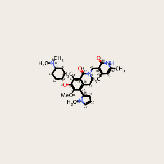 COc1c(O[C@H]2CC[C@H](N(C)C)CC2)c(C)c2c(c1-c1cccn1C)CCN(Cc1c(C)cc(C)[nH]c1=O)C2=O